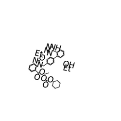 CCO.CCOc1nc2cccc(C(=O)OC(C)OC(=O)OC3CCCCC3)c2n1Cc1ccc(-c2ccccc2-c2nnn[nH]2)cc1